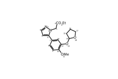 CCOC(=O)Cn1nccc1-c1ccc(OC)c(OC2CCCO2)c1